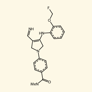 CNC(=O)c1ccc(N2CC(C=N)=C(Nc3ccccc3OCF)C2)cc1